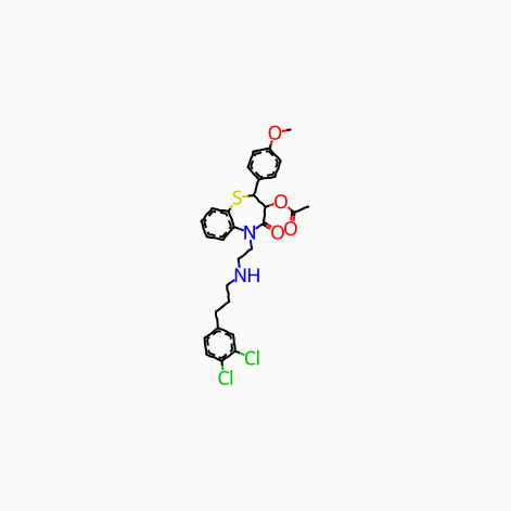 COc1ccc(C2Sc3ccccc3N(CCNCCCc3ccc(Cl)c(Cl)c3)C(=O)C2OC(C)=O)cc1